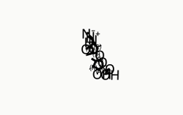 CC1[C@H](O[C@@H]2C3CO[C@H](O3)C(N=[N+]=[N-])[C@H]2C)O[C@@H](C(=O)O)[C@@H](O)[C@@H]1C